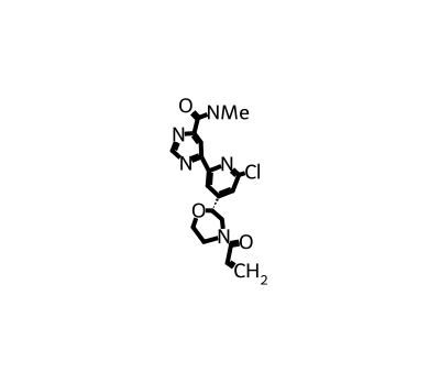 C=CC(=O)N1CCO[C@H](c2cc(Cl)nc(-c3cc(C(=O)NC)ncn3)c2)C1